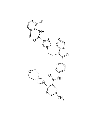 Cc1cnc(N2CC3(CCOCC3)C2)c(C(=O)Nc2ccc(C(=O)N3CCc4cc(C(=O)Nc5c(F)cccc5F)sc4-c4sccc43)cc2)c1